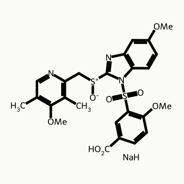 COc1ccc2c(c1)nc([S+]([O-])Cc1ncc(C)c(OC)c1C)n2S(=O)(=O)c1cc(C(=O)O)ccc1OC.[NaH]